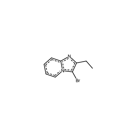 CCc1nc2ccccn2c1Br